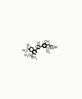 Cc1cc(N2C=C(c3cnc(N(C)C)c4c3CCC(C)(C)C4)ON2)cc(C)c1CC(O)CO